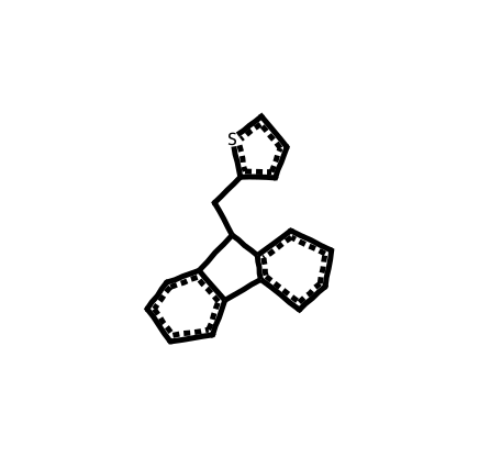 c1csc(CC2c3ccccc3-c3ccccc32)c1